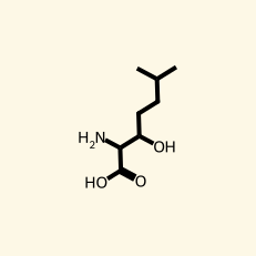 CC(C)CCC(O)C(N)C(=O)O